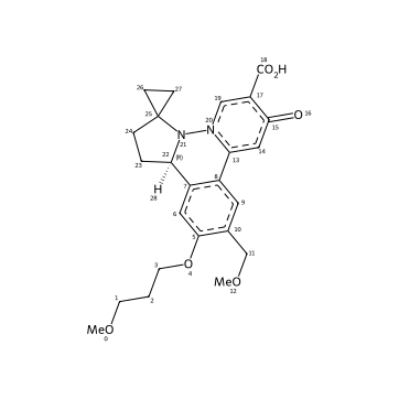 COCCCOc1cc2c(cc1COC)-c1cc(=O)c(C(=O)O)cn1N1[C@@H]2CCC12CC2